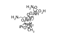 CC(C)C[C@H](NC(=O)[C@H](C)N)C(=O)N[C@@H](CCCCN)C(=O)N1CCC[C@H]1C(=O)N[C@@H](CC(N)=O)C(=O)O